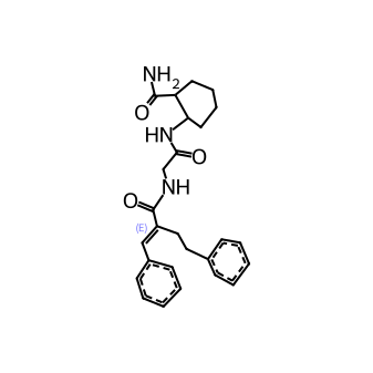 NC(=O)C1CCCCC1NC(=O)CNC(=O)/C(=C/c1ccccc1)CCc1ccccc1